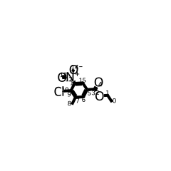 CCOC(=O)c1cc(C)c(Cl)c([N+](=O)[O-])c1